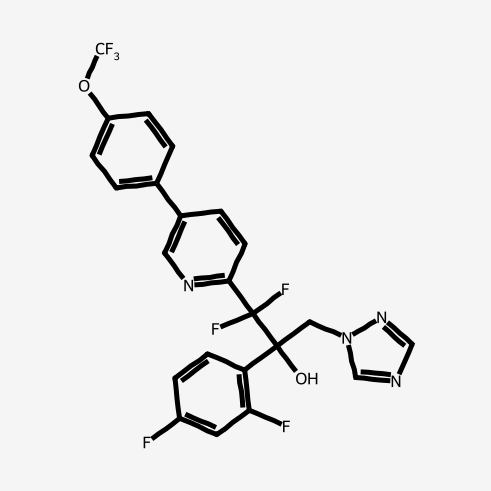 OC(Cn1cncn1)(c1ccc(F)cc1F)C(F)(F)c1ccc(-c2ccc(OC(F)(F)F)cc2)cn1